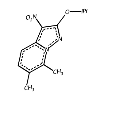 Cc1ccc2c([N+](=O)[O-])c(OC(C)C)nn2c1C